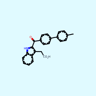 Cc1ccc(-c2ccc(C(=O)c3[nH]c4ccccc4c3CC(=O)O)cc2)cc1